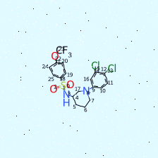 O=S(=O)(NC1CCCN(c2ccc(Cl)c(Cl)c2)C1)c1ccc(OC(F)(F)F)cc1